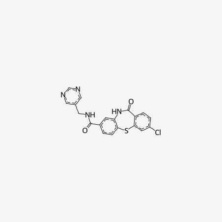 O=C(NCc1cncnc1)c1ccc2c(c1)NC(=O)c1ccc(Cl)cc1S2